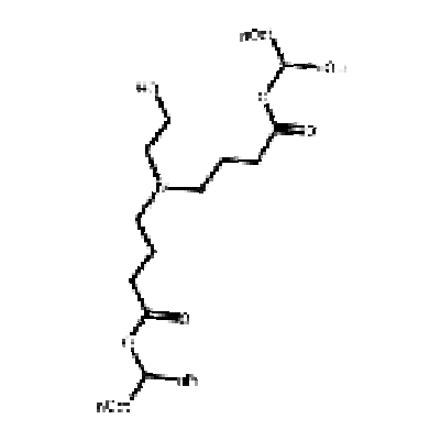 CCCCCCCCC(CCC)OC(=O)CCCN(CCO)CCCC(=O)OC(CCCCCCCC)CCCCCCCC